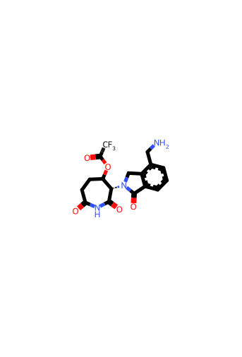 NCc1cccc2c1CN([C@@H]1C(=O)NC(=O)CCC1OC(=O)C(F)(F)F)C2=O